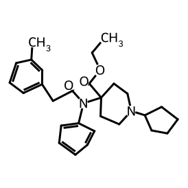 CCOC(=O)C1(N(C(=O)Cc2cccc(C)c2)c2ccccc2)CCN(C2CCCC2)CC1